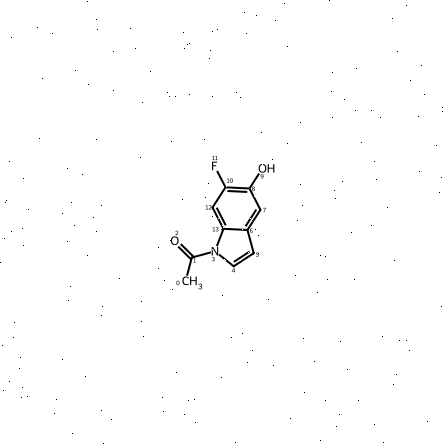 CC(=O)n1ccc2cc(O)c(F)cc21